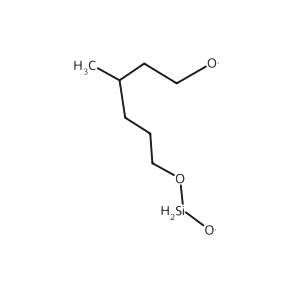 CC(CC[O])CCCO[SiH2][O]